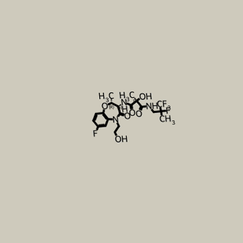 C[C@H]1Oc2ccc(F)cc2N(CCO)C(=O)[C@H]1NC(=O)[C@@](C)(O)C(=O)NCC(C)(F)C(F)(F)F